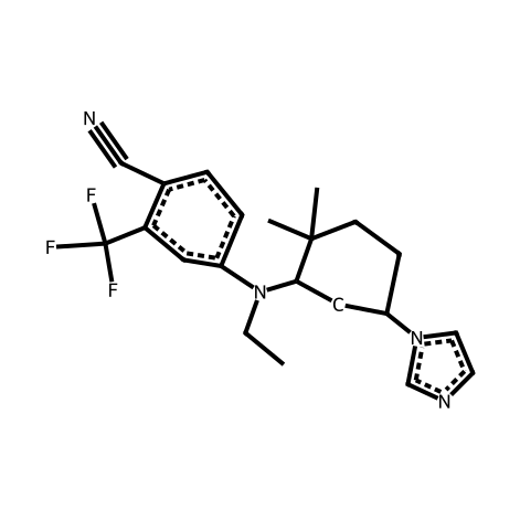 CCN(c1ccc(C#N)c(C(F)(F)F)c1)C1CC(n2ccnc2)CCC1(C)C